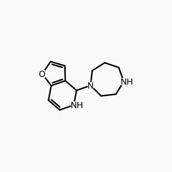 C1=Cc2occc2C(N2CCCNCC2)N1